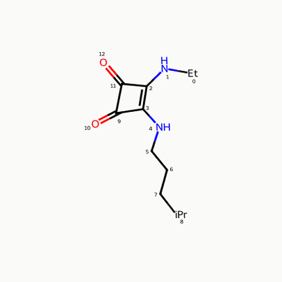 CCNc1c(NCCCC(C)C)c(=O)c1=O